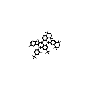 Cc1ccc2oc3c(c2c1)N(c1ccc(C(C)(C)C)cc1C)c1cc(C(C)(C)C)cc2c1B3c1ccc3c(c1N2c1ccc2c(c1)C(C)(C)CCC2(C)C)C(C)(C)CCC3(C)C